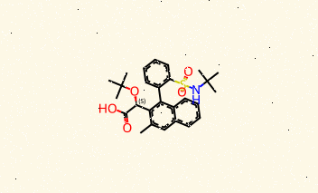 Cc1cc2ccccc2c(-c2ccccc2S(=O)(=O)NC(C)(C)C)c1[C@H](OC(C)(C)C)C(=O)O